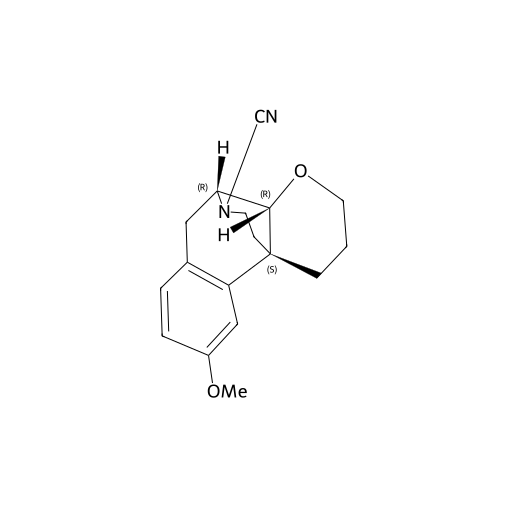 COc1ccc2c(c1)[C@@]13CCCO[C@H]1[C@@H](C2)N(C#N)CC3